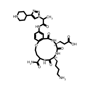 CC(C(=O)Nc1ccc2c(c1)C(=O)N[C@@H](CCC(=O)O)C(=O)N[C@@H](CCCCN)C(=O)NC(C(N)=O)CCO2)n1cc(C2CCNCC2)nn1